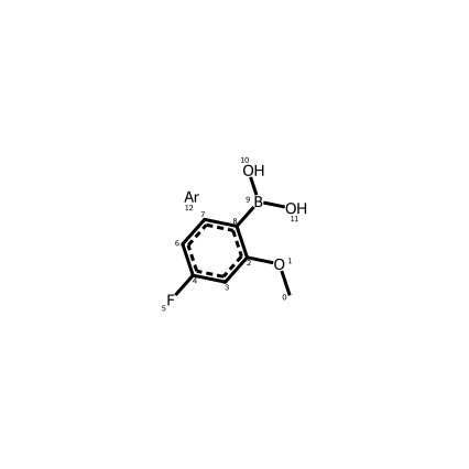 COc1cc(F)ccc1B(O)O.[Ar]